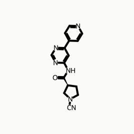 N#CN1CC[C@H](C(=O)Nc2cc(-c3ccncc3)ncn2)C1